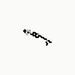 CCCN(CCC)CCCCCc1ccc2cc(CNC(=O)OC(C)(C)C)ccc2n1